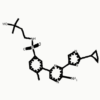 Cc1ccc(S(=O)(=O)NCCC(C)(C)O)cc1-c1cnc(N)c(-c2cnc(C3CC3)s2)n1